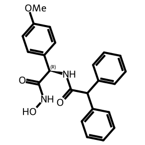 COc1ccc([C@@H](NC(=O)C(c2ccccc2)c2ccccc2)C(=O)NO)cc1